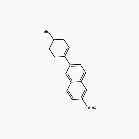 CCCCCCc1ccc2cc(C3=CCC(CCCC)CC3)ccc2c1